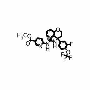 COC(=O)c1ccc(NC(=O)NC2(c3ccc(OC(F)(F)F)c(F)c3)CCOc3cccnc32)nc1